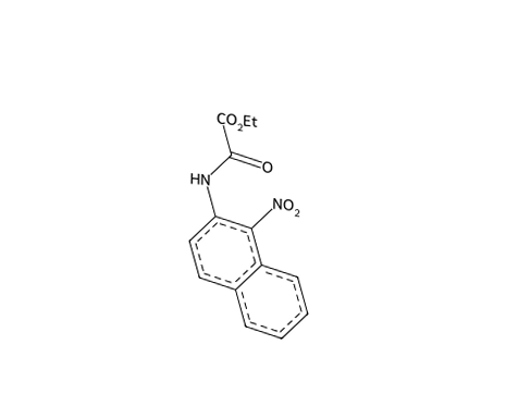 CCOC(=O)C(=O)Nc1ccc2ccccc2c1[N+](=O)[O-]